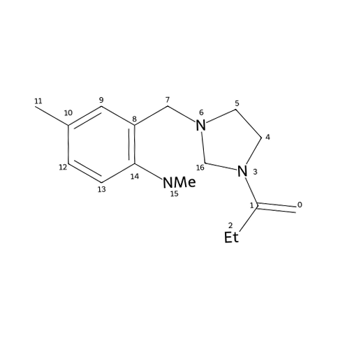 C=C(CC)N1CCN(Cc2cc(C)ccc2NC)C1